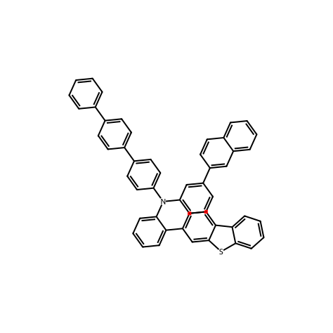 c1ccc(-c2ccc(-c3ccc(N(c4cccc(-c5ccc6ccccc6c5)c4)c4ccccc4-c4ccc5c(c4)sc4ccccc45)cc3)cc2)cc1